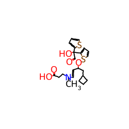 CN(/C=C/C(CC1CCC1)OC(=O)C(O)(c1cccs1)c1cccs1)CCC(=O)O